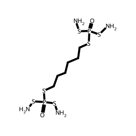 NSP(=O)(SN)SCCCCCCSP(=O)(SN)SN